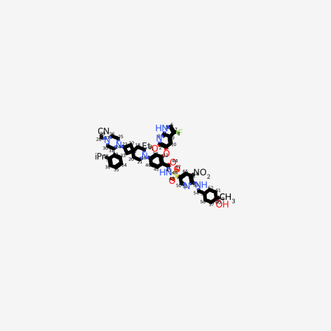 CCOc1nc2[nH]cc(F)c2cc1Oc1cc(N2CCC3(CC2)CC(N2CCN(CC#N)C[C@H]2c2ccccc2C(C)C)C3)ccc1C(=O)NS(=O)(=O)c1cnc(NCC2CCC(C)(O)CC2)c([N+](=O)[O-])c1